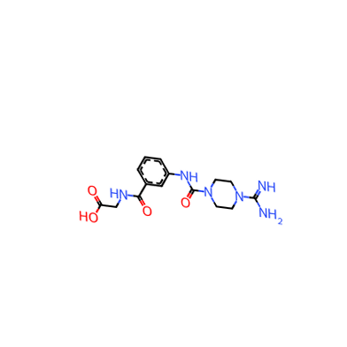 N=C(N)N1CCN(C(=O)Nc2cccc(C(=O)NCC(=O)O)c2)CC1